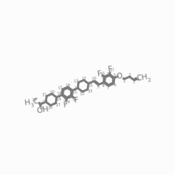 C=CCCOc1ccc(/C=C/C2CCC(c3ccc(C4CCC(C(C)O)CC4)c(F)c3F)CC2)c(F)c1F